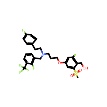 CS(=O)(=O)c1cc(OCCCN(CCc2ccc(F)cc2)Cc2cccc(C(F)(F)F)c2F)cc(F)c1CO